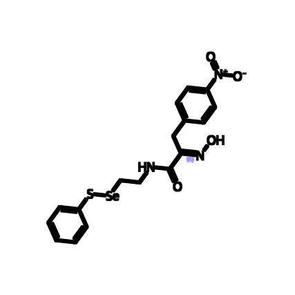 O=C(NCC[Se]Sc1ccccc1)/C(Cc1ccc([N+](=O)[O-])cc1)=N/O